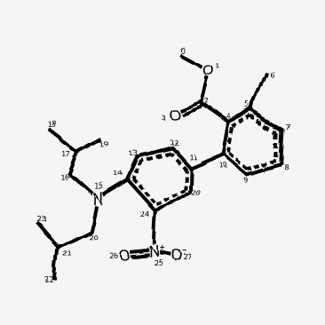 COC(=O)c1c(C)cccc1-c1ccc(N(CC(C)C)CC(C)C)c([N+](=O)[O-])c1